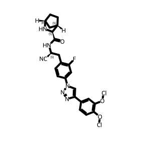 N#C[C@H](Cc1ccc(-n2cc(-c3ccc(OCl)c(OCl)c3)nn2)cc1F)NC(=O)[C@H]1N[C@@H]2CC[C@H]1C2